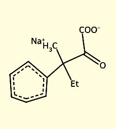 CCC(C)(C(=O)C(=O)[O-])c1ccccc1.[Na+]